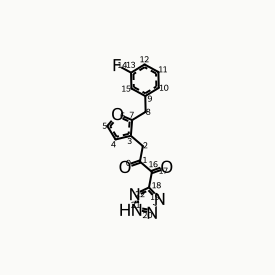 O=C(Cc1ccoc1Cc1cccc(F)c1)C(=O)c1nn[nH]n1